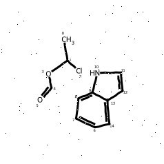 CC(Cl)OC=O.c1ccc2[nH]ccc2c1